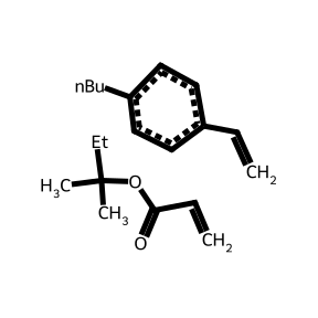 C=CC(=O)OC(C)(C)CC.C=Cc1ccc(CCCC)cc1